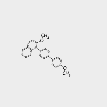 COc1ccc(-c2ccc(-c3c(OC)ccc4ccccc34)cc2)cc1